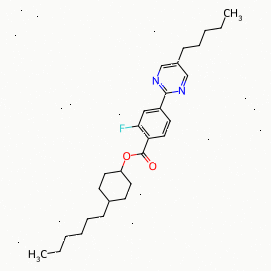 CCCCCCC1CCC(OC(=O)c2ccc(-c3ncc(CCCCC)cn3)cc2F)CC1